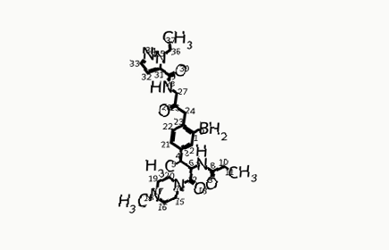 Bc1cc([C@H](C)C(NC(=O)CC)C(=O)N2CCN(C)CC2)ccc1CC(=O)CNC(=O)c1ccnn1CC